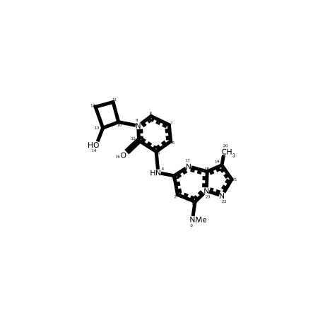 CNc1cc(Nc2cccn(C3CCC3O)c2=O)nc2c(C)cnn12